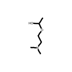 C[C](O)OCCN(C)C